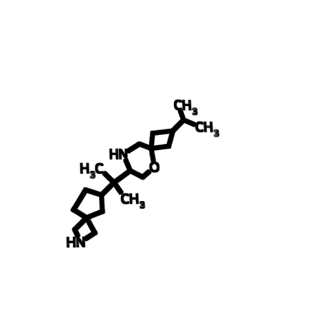 CC(C)C1CC2(CNC(C(C)(C)C3CCC4(CNC4)C3)CO2)C1